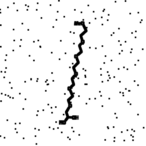 COCCOCCOCCOCCOCCOCC(O)O